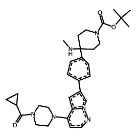 CNC1(c2ccc(-c3cc4c(N5CCN(C(=O)C6CC6)CC5)ccnn4c3)cc2)CCN(C(=O)OC(C)(C)C)CC1